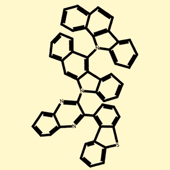 c1ccc2c(-n3c4ccccc4c4ccc5ccccc5c43)c3c4ccccc4n(-c4nc5ccccc5nc4-c4cccc5sc6ccccc6c45)c3cc2c1